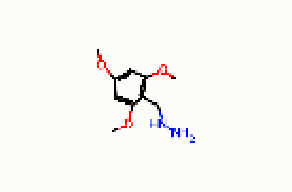 COc1cc(OC)c(CNN)c(OC)c1